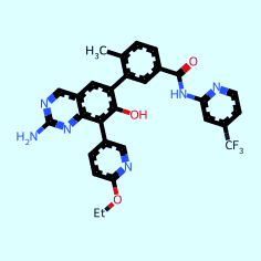 CCOc1ccc(-c2c(O)c(-c3cc(C(=O)Nc4cc(C(F)(F)F)ccn4)ccc3C)cc3cnc(N)nc23)cn1